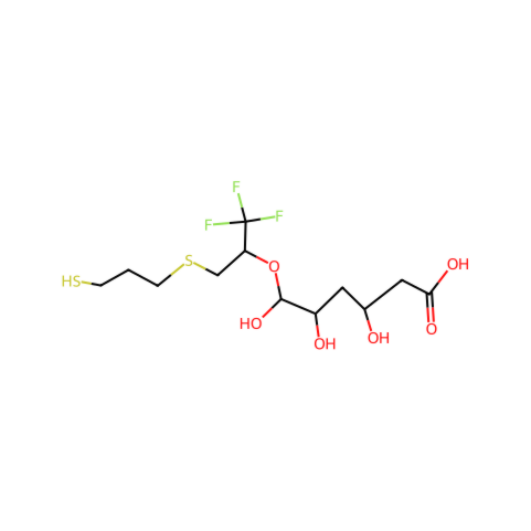 O=C(O)CC(O)CC(O)C(O)OC(CSCCCS)C(F)(F)F